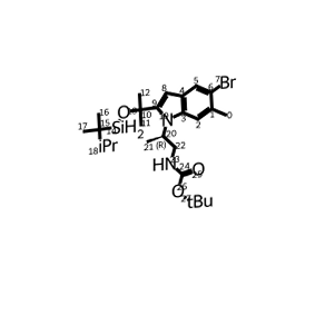 Cc1cc2c(cc1Br)cc(C(C)(C)O[SiH2]C(C)(C)C(C)C)n2[C@H](C)CNC(=O)OC(C)(C)C